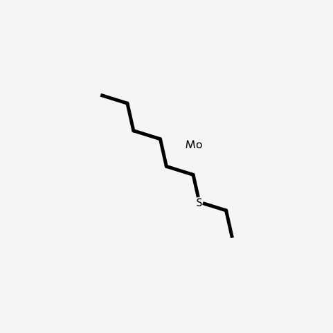 CCCCCCSCC.[Mo]